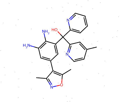 Cc1ccnc(C(O)(c2ccccn2)c2cc(-c3c(C)noc3C)cc(N)c2N)c1